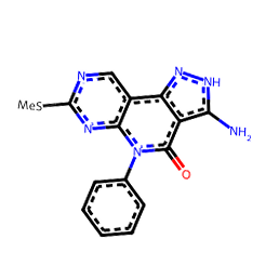 CSc1ncc2c3n[nH]c(N)c3c(=O)n(-c3ccccc3)c2n1